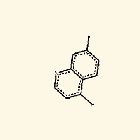 Cc1ccc2c(F)ccnc2c1